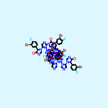 O=C1N=CN(c2cncn2N2N=NC(NC(=O)C3(n4cncc4N4C=NC(=O)C4c4ccc(F)c(Br)c4)N=NN(n4cncc4N4C=NC(=O)C4c4ccc(F)c(Br)c4)N3n3cncc3N3C=NC(=O)C3c3ccc(F)c(Br)c3)(n3cncc3N3C=NC(=O)C3c3ccc(F)c(Br)c3)N2n2cncc2N2C=NC(=O)C2c2ccc(F)c(Br)c2)C1c1ccc(F)c(Br)c1